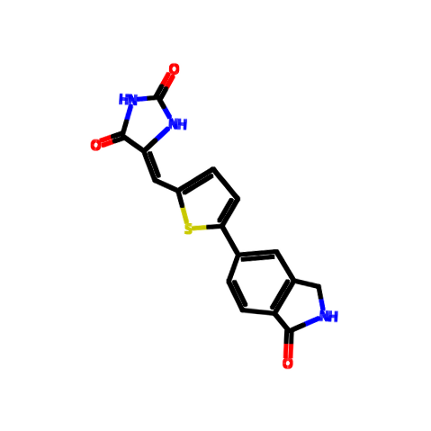 O=C1NC(=O)C(=Cc2ccc(-c3ccc4c(c3)CNC4=O)s2)N1